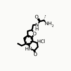 CCc1cc2c(c3c1NC(=O)CC3)OC(CNC(=O)[C@H](C)N)C2.Cl